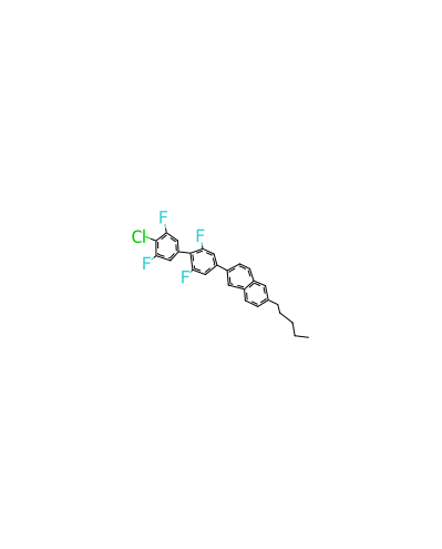 CCCCCc1ccc2cc(-c3cc(F)c(-c4cc(F)c(Cl)c(F)c4)c(F)c3)ccc2c1